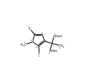 CCCCCCC(C)(CCCCC)c1cc(F)n(C)c1F